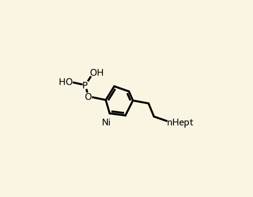 CCCCCCCCCc1ccc(OP(O)O)cc1.[Ni]